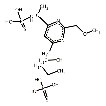 CC.CCC.COCc1nc(C)cc(OC)n1.OP(O)(O)=S.OP(O)(O)=S